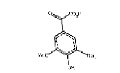 COc1cc(C(=O)C(=O)O)cc([N+](=O)[O-])c1O